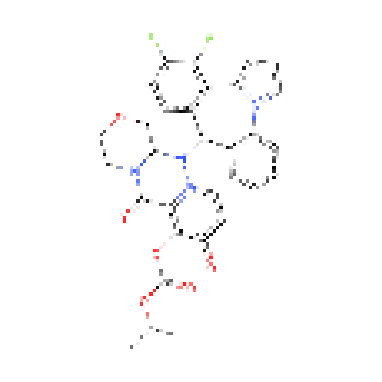 CC(C)OC(=O)Oc1c2n(ccc1=O)N(C1c3ccccc3-n3cccc3-c3c1ccc(F)c3F)C1COCCN1C2=O